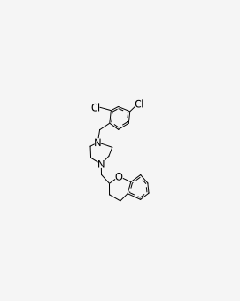 Clc1ccc(CN2CCN(CC3CCc4ccccc4O3)CC2)c(Cl)c1